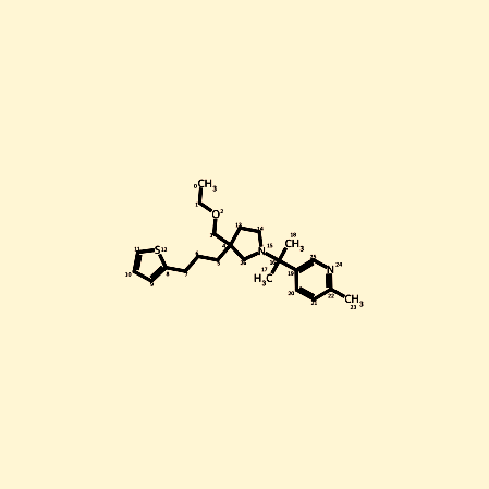 CCOCC1(CCCc2cccs2)CCN(C(C)(C)c2ccc(C)nc2)C1